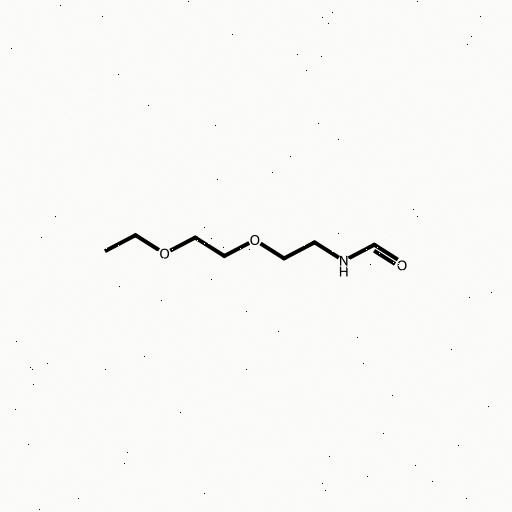 CCOCCOCCNC=O